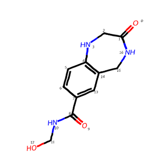 O=C1CNc2ccc(C(=O)NCO)cc2CN1